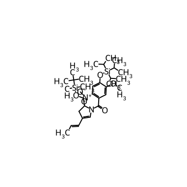 CC=CC1=CN(C(=O)c2cc(OC)c(O[Si](C(C)C)(C(C)C)C(C)C)cc2[N+](=O)[O-])C(CO[Si](C)(C)C(C)(C)C)C1